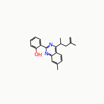 C=C(C)CC(C)c1nc(-c2ccccc2O)nc2cc(C)ccc12